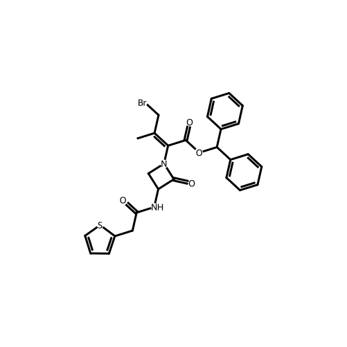 CC(CBr)=C(C(=O)OC(c1ccccc1)c1ccccc1)N1CC(NC(=O)Cc2cccs2)C1=O